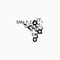 CCN(CC1CCCC1)c1ccc(F)cc1CN(c1ncc(OCCSC)cn1)C(C)c1cc(C(F)(F)F)cc(C(F)(F)F)c1